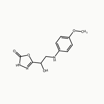 COc1ccc(NCC(O)c2n[nH]c(=O)o2)cc1